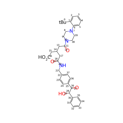 CC(C)(C)c1ccccc1N1CCN(C(=O)CC(CC(=O)O)CC(=O)NCc2ccc(C(=O)C(O)c3ccccc3)cc2)CC1